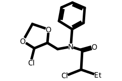 CCC(Cl)C(=O)N(CC1OCOC1Cl)c1ccccc1